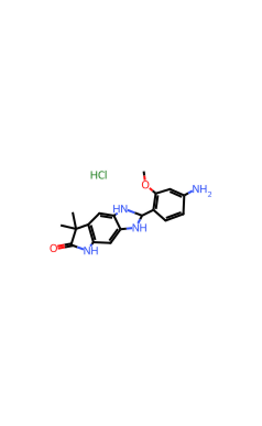 COc1cc(N)ccc1C1Nc2cc3c(cc2N1)C(C)(C)C(=O)N3.Cl